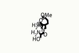 COB1CCCC2CN(C(=O)C(N)CO)CC2(N)C(=O)O1